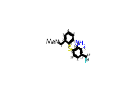 CNCc1ccccc1Sc1ccc(CF)cc1N